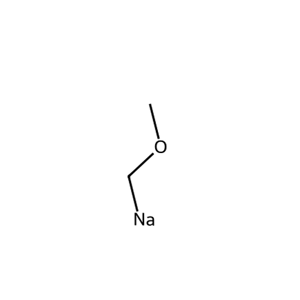 CO[CH2][Na]